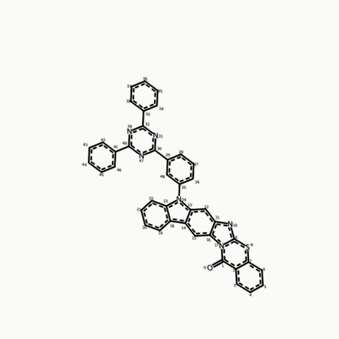 O=c1c2ccccc2sc2nc3cc4c(cc3n12)c1ccccc1n4-c1cccc(-c2nc(-c3ccccc3)nc(-c3ccccc3)n2)c1